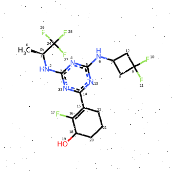 C[C@H](Nc1nc(NC2CC(F)(F)C2)nc(C2=C(F)C(O)CCC2)n1)C(F)(F)F